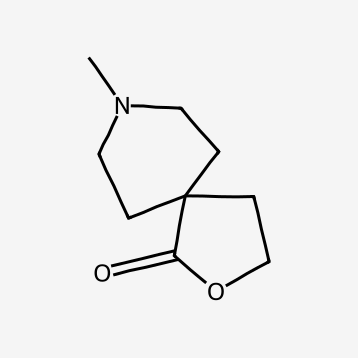 CN1CCC2(CCOC2=O)CC1